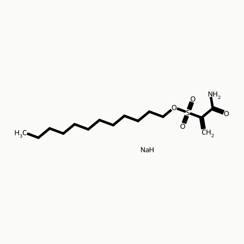 C=C(C(N)=O)S(=O)(=O)OCCCCCCCCCCCC.[NaH]